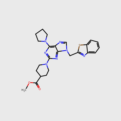 COC(=O)C1CCN(c2nc(N3CCCC3)c3ncn(Cc4nc5ccccc5s4)c3n2)CC1